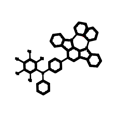 [2H]c1c([2H])c([2H])c(N(c2ccccc2)c2ccc(-c3cc4c5ccccc5n(-c5ccccc5)c4c4c3c3ccccc3n4-c3ccccc3)cc2)c([2H])c1[2H]